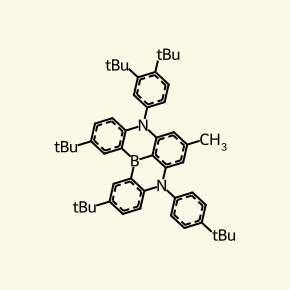 Cc1cc2c3c(c1)N(c1ccc(C(C)(C)C)c(C(C)(C)C)c1)c1ccc(C(C)(C)C)cc1B3c1cc(C(C)(C)C)ccc1N2c1ccc(C(C)(C)C)cc1